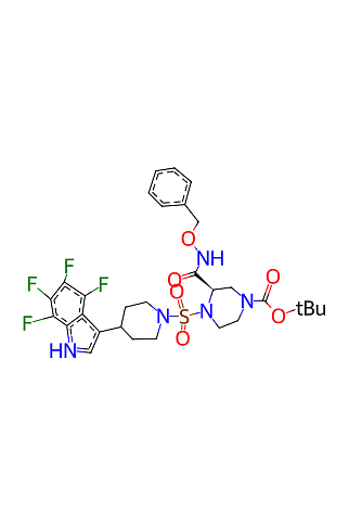 CC(C)(C)OC(=O)N1CCN(S(=O)(=O)N2CCC(c3c[nH]c4c(F)c(F)c(F)c(F)c34)CC2)[C@@H](C(=O)NOCc2ccccc2)C1